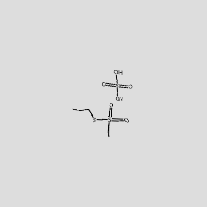 CCSS(C)(=O)=O.O=S(=O)(O)O